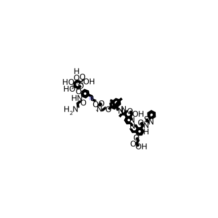 Cc1c(-c2ccc(N3CCc4c(OCC(=O)O)ccc(C(=O)Nc5nc6ccccc6s5)c4C3)nc2C(=O)O)cnn1CC12CC3(C)CC(C)(C1)CC(OCCN(C)C(=O)OC/C=C/c1ccc(O[C@@H]4O[C@H](C(=O)O)[C@@H](O)[C@H](O)[C@H]4O)c(NC(=O)CCN)c1)(C3)C2